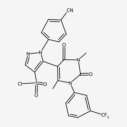 Cc1c(-c2c(S(=O)(=O)Cl)cnn2-c2ccc(C#N)cc2)c(=O)n(C)c(=O)n1-c1cccc(C(F)(F)F)c1